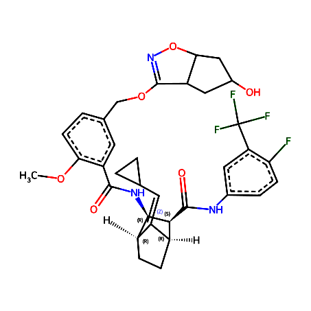 COc1ccc(COC2=NOC3CC(O)CC23)cc1C(=O)N[C@H]1[C@@H](C(=O)Nc2ccc(F)c(C(F)(F)F)c2)[C@H]2CC[C@@H]1/C2=C\C1CC1